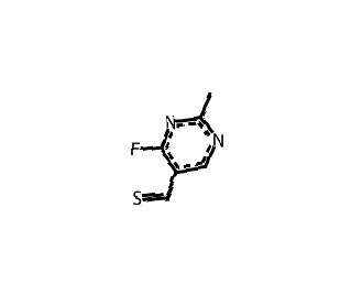 Cc1ncc(C=S)c(F)n1